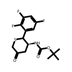 CC(C)(C)OC(=O)N[C@H]1CC(=O)CSC1c1cc(F)cc(F)c1F